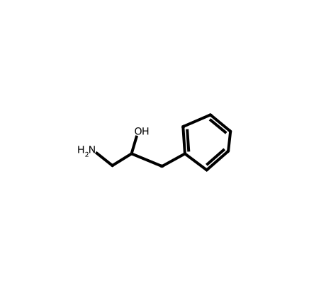 NCC(O)Cc1ccccc1